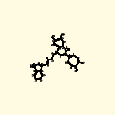 CC1=CC=C(/C(O)=C/C(=C\C/C=C/c2c[nH]c3ccccc23)c2ccc(C)c(C)c2)C=CC1C